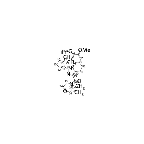 COc1cc2c(cc1OC(C)C)-n1c(C3=CCCC3(C)C)nc(C(=O)N3CCOCC3(C)C)c1CC2